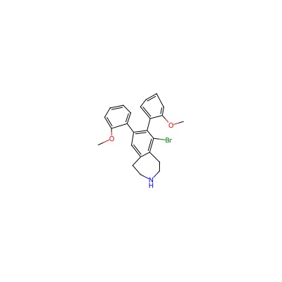 COc1ccccc1-c1cc2c(c(Br)c1-c1ccccc1OC)CCNCC2